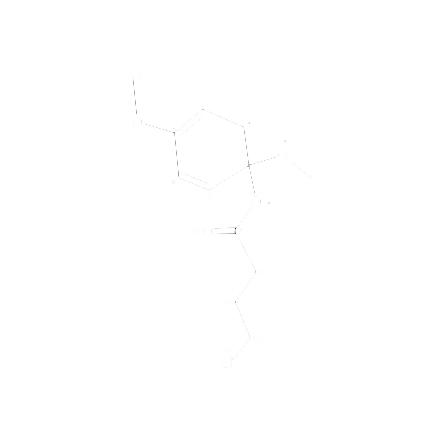 COC1=CCC(OC)(OC(=O)CCCCl)C=C1